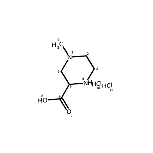 CN1CCNC(C(=O)O)C1.Cl.Cl